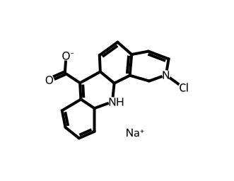 O=C([O-])C1=C2C=CC=CC2NC2C3=C(C=CC12)C=CN(Cl)C3.[Na+]